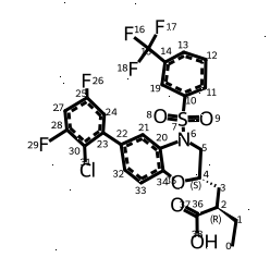 CC[C@H](C[C@H]1CN(S(=O)(=O)c2cccc(C(F)(F)F)c2)c2cc(-c3cc(F)cc(F)c3Cl)ccc2O1)C(=O)O